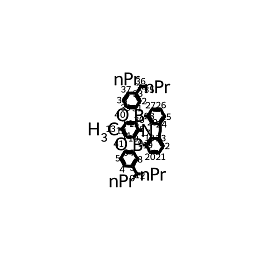 CCCC(CCC)c1ccc2c(c1)B1c3c(c(C)c4c5c3-n3c6c1cccc6c1cccc(c13)B5c1cc(C(CCC)CCC)ccc1O4)O2